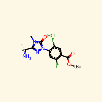 C[C@@H](N)c1nn(-c2cc(F)c(C(=O)OC(C)(C)C)cc2F)c(=O)n1C.Cl